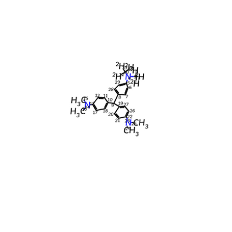 [2H]C([2H])([2H])N(c1ccc(C(c2ccc(N(C)C)cc2)c2ccc(N(C)C)cc2)cc1)C([2H])([2H])[2H]